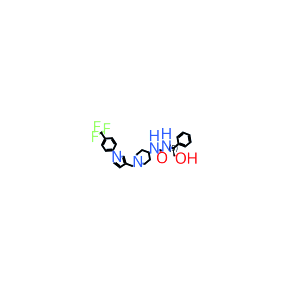 O=C(NC1CCN(Cc2ccn(-c3ccc(C(F)(F)F)cc3)c2)CC1)N[C@H](CO)c1ccccc1